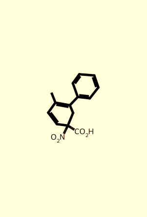 CC1=C(c2ccccc2)CC(C(=O)O)([N+](=O)[O-])C=C1